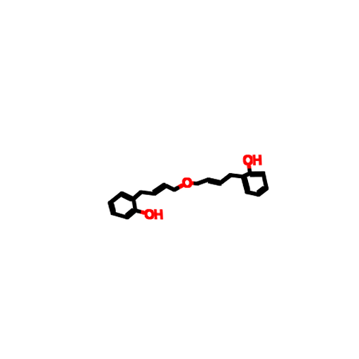 Oc1ccccc1CC=CCOCC=CCc1ccccc1O